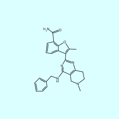 Cc1oc2c(C(N)=O)cccc2c1-c1nc2c(c(NCc3ccccc3)n1)CN(C)CC2